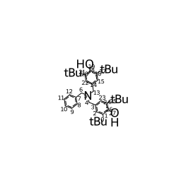 CC(C)(C)c1cc(CN(Cc2ccccc2)Cc2cc(C(C)(C)C)c(O)c(C(C)(C)C)c2)cc(C(C)(C)C)c1O